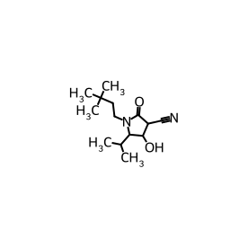 CC(C)C1C(O)C(C#N)C(=O)N1CCC(C)(C)C